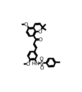 COc1ccc(C=CC(=O)c2ccc(OC)c3c2OC(C)(C)C=C3)cc1NS(=O)(=O)c1ccc(C)cc1